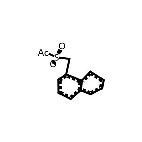 CC(=O)S(=O)(=O)Cc1cccc2ccccc12